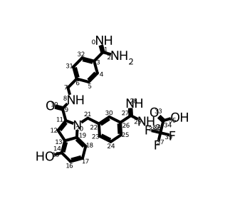 N=C(N)c1ccc(CNC(=O)c2cc3c(O)cccc3n2Cc2cccc(C(=N)N)c2)cc1.O=C(O)C(F)(F)F